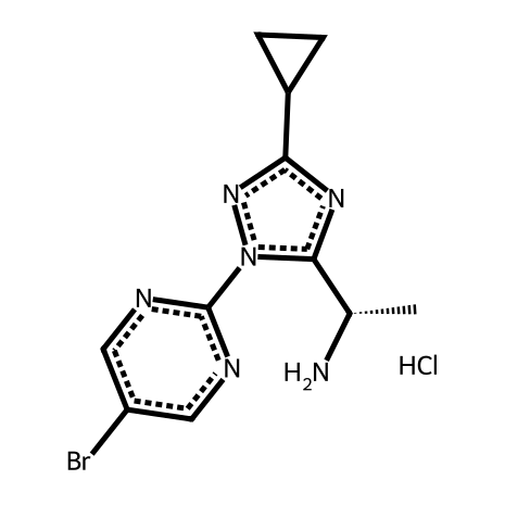 C[C@H](N)c1nc(C2CC2)nn1-c1ncc(Br)cn1.Cl